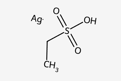 CCS(=O)(=O)O.[Ag]